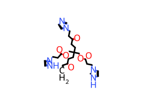 C=CC(=O)CCC(CCC(=O)CCn1ccnc1)(COC(=O)CCN1C=CNC1)COC(=O)CCn1cc[nH]1